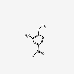 CSc1ccc([N+](=O)[O-])cc1C